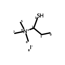 CCC(S)[N+](C)(C)C.[I-]